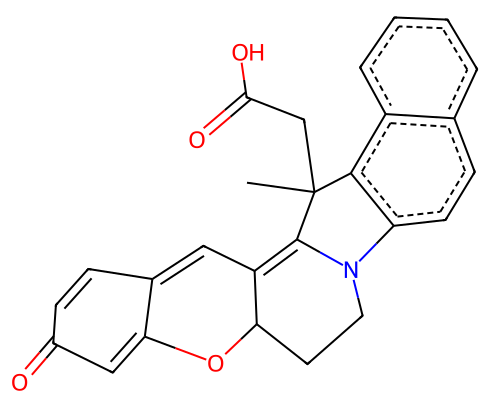 CC1(CC(=O)O)C2=C3C=C4C=CC(=O)C=C4OC3CCN2c2ccc3ccccc3c21